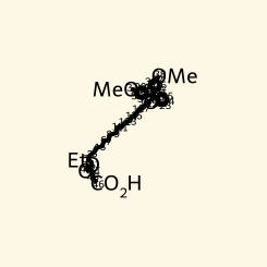 CCC(CCCCCCCCCCCCCCCCCOC(c1ccccc1)(c1ccc(OC)cc1)c1ccc(OC)cc1)OC(=O)CCC(=O)O